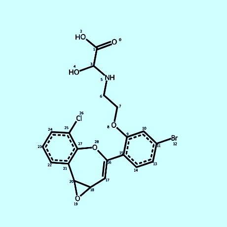 O=C(O)C(O)NCCOc1cc(Br)ccc1C1=CC2OC2c2cccc(Cl)c2O1